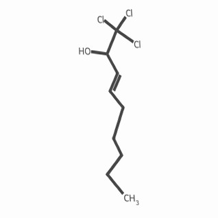 CCCCCC=CC(O)C(Cl)(Cl)Cl